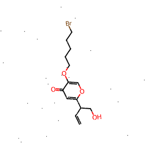 C=CC(CO)c1cc(=O)c(OCCCCCBr)co1